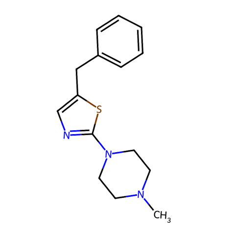 CN1CCN(c2ncc(Cc3ccccc3)s2)CC1